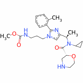 COC(=O)NCCCn1cc([C@@H](C)N(C(=O)[C@H]2CNCCO2)C2CC2)nc1-c1ccccc1C